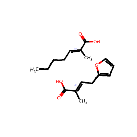 C/C(=C\Cc1ccco1)C(=O)O.CCCC/C=C(\C)C(=O)O